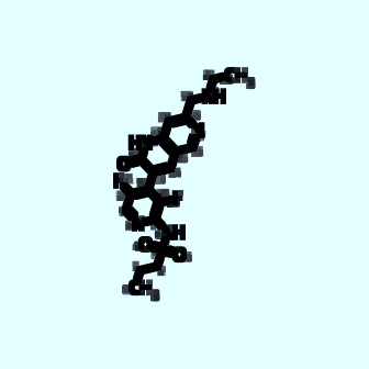 CCCS(=O)(=O)Nc1ncc(F)c(-c2cc3cnc(CNCC)cc3[nH]c2=O)c1F